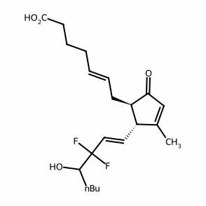 CCCCC(O)C(F)(F)C=C[C@H]1C(C)=CC(=O)[C@@H]1CC=CCCCC(=O)O